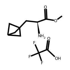 COC(=O)[C@@H](N)CC12CC(C1)C2.O=C(O)C(F)(F)F